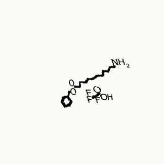 NCCCCCCCCCCCC(=O)OCc1ccccc1.O=C(O)C(F)(F)F